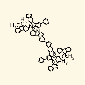 CC1(C)c2ccccc2-c2ccc(N3B4c5c(cc(-c6ccccc6)cc5-n5c6sc7cc(-c8ccc9cc%10c(cc9c8)-c8cc(-c9ccccc9)cc9c8B(c8cccc%11c%12sc%13ccccc%13c%12n-9c8%11)N%10c8ccc9c(c8)C(C)(C)c8ccccc8-9)ccc7c6c6cccc4c65)-c4cc5ccccc5cc43)cc21